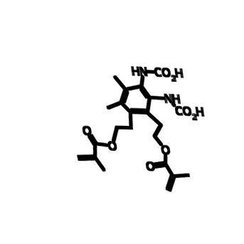 C=C(C)C(=O)OCCc1c(C)c(C)c(NC(=O)O)c(NC(=O)O)c1CCOC(=O)C(=C)C